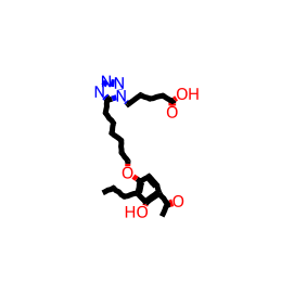 CCCc1c(OCCCCCCc2nnnn2CCCCC(=O)O)ccc(C(C)=O)c1O